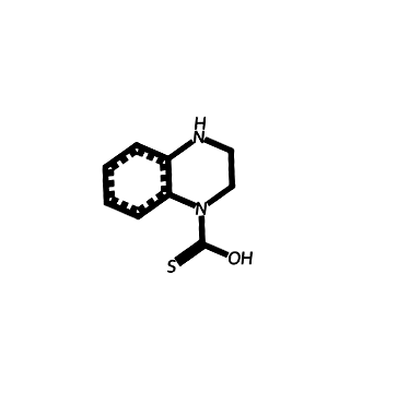 OC(=S)N1CCNc2ccccc21